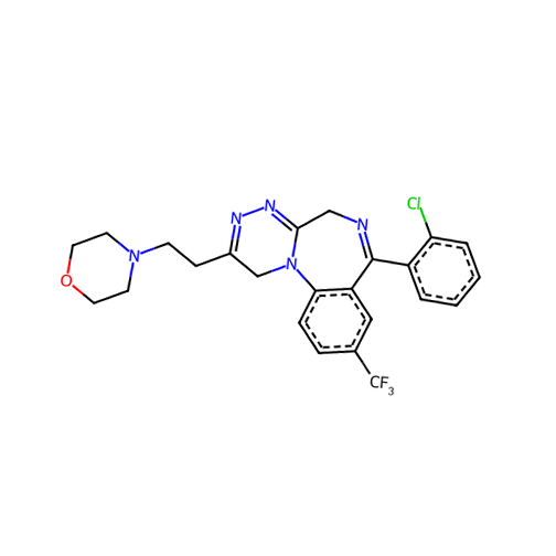 FC(F)(F)c1ccc2c(c1)C(c1ccccc1Cl)=NCC1=NN=C(CCN3CCOCC3)CN12